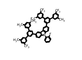 Cc1cc(C)cc(-c2cc(-c3cc(C)cc(C(F)(F)F)c3)cc(-c3ccc4c(c3)c3cc(-c5cc(-c6cc(C)cc(C(F)(F)F)c6)cc(-c6cc(C(F)(F)F)cc(C(F)(F)F)c6)c5)ccc3n4-c3ccccc3F)c2)c1